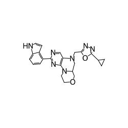 c1cc(-c2ncc3c(n2)N2CCOCC2CN3Cc2nnc(C3CC3)o2)c2cc[nH]c2c1